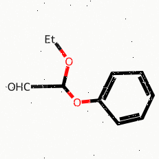 CCOC([C]=O)Oc1ccccc1